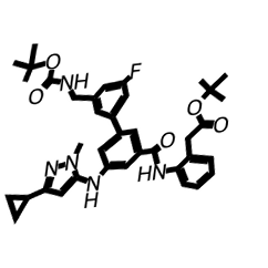 Cn1nc(C2CC2)cc1Nc1cc(C(=O)Nc2ccccc2CC(=O)OC(C)(C)C)cc(-c2cc(F)cc(CNC(=O)OC(C)(C)C)c2)c1